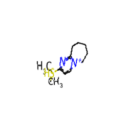 C[SH](C)c1cc[n+]2c(n1)CCCCC2